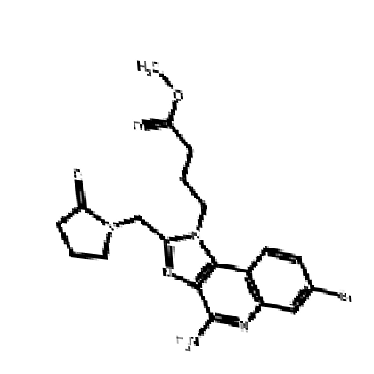 COC(=O)CCCn1c(CN2CCCC2=O)nc2c(N)nc3cc(Br)ccc3c21